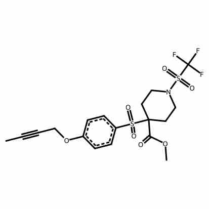 CC#CCOc1ccc(S(=O)(=O)C2(C(=O)OC)CCN(S(=O)(=O)C(F)(F)F)CC2)cc1